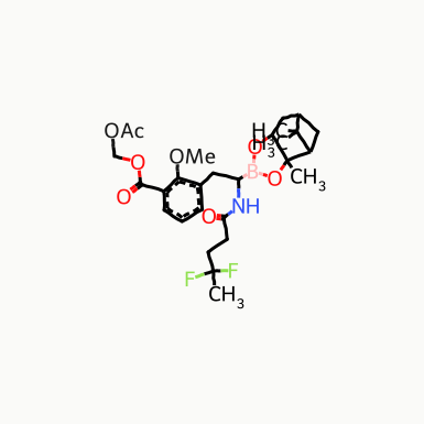 COc1c(CC(NC(=O)CCC(C)(F)F)B2OC3CC4CC(C4(C)C)C3(C)O2)cccc1C(=O)OCOC(C)=O